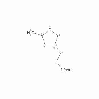 CCCCCCC[C@H]1COC(C)C1